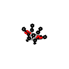 CC(C)(C)c1ccc2c(c1)c1cc(C(C)(C)C)ccc1n2-c1c(-n2c3ccc(-c4ccccc4)cc3n3c4cc(-c5ccccc5)ccc4nc23)cc(-n2c3ccc(-c4ccccc4)cc3n3c4cc(-c5ccccc5)ccc4nc23)c(-n2c3ccc(C(C)(C)C)cc3c3cc(C(C)(C)C)ccc32)c1C#N